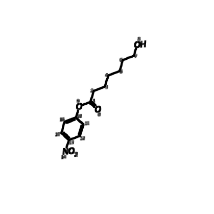 O=C(CCCCCCO)Oc1ccc([N+](=O)[O-])cc1